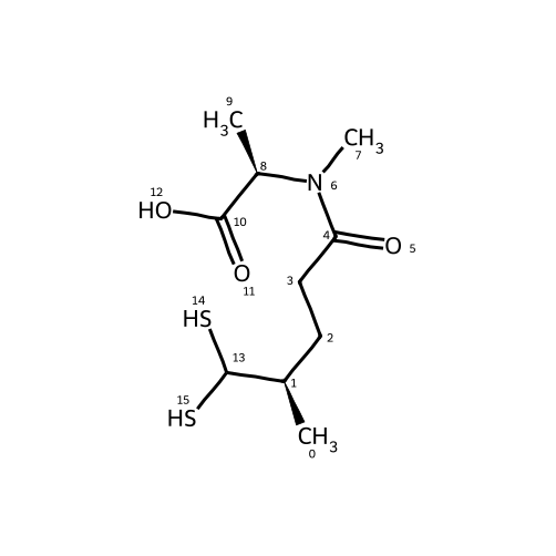 C[C@H](CCC(=O)N(C)[C@H](C)C(=O)O)C(S)S